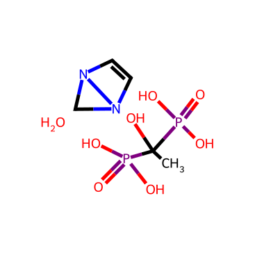 CC(O)(P(=O)(O)O)P(=O)(O)O.O.c1cn2n1C2